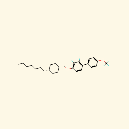 CCCCCCC[C@H]1CC[C@H](COc2ccc(-c3ccc(OC(F)(F)F)cc3)c(F)c2F)CC1